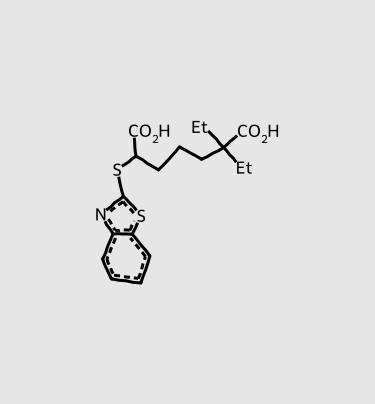 CCC(CC)(CCCC(Sc1nc2ccccc2s1)C(=O)O)C(=O)O